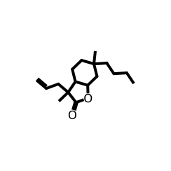 C=CCC1(C)C(=O)OC2CC(C)(CCCC)CCC21